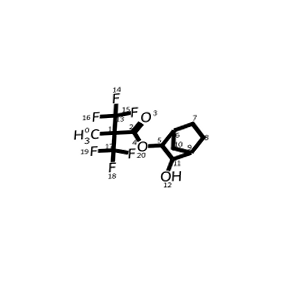 CC(C(=O)OC1C2CCC(C2)C1O)(C(F)(F)F)C(F)(F)F